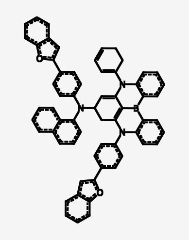 C1=CCCC(N2C3=CC(N(c4ccc(-c5cc6ccccc6o5)cc4)c4cccc5ccccc45)CC4=C3B(c3ccccc32)c2ccccc2N4c2ccc(-c3cc4ccccc4o3)cc2)=C1